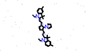 CCN1/C(=C/C=C2\C=CC(/C=C/C3=[N+](CC)c4ccc(C)cc4C3(C)C)=C2n2cccc2)C(C)(C)c2cc(C)ccc21